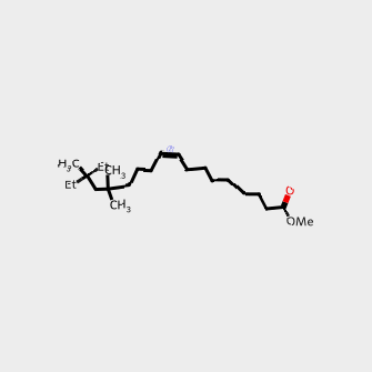 CCC(C)(CC)CC(C)(C)CCC/C=C\CCCCCCCC(=O)OC